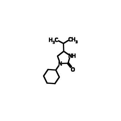 CC(C)C1CN(C2CCCCC2)C(=O)N1